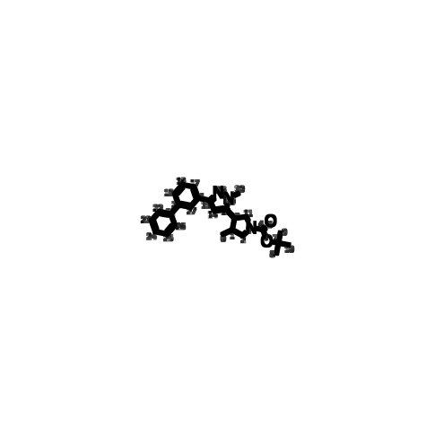 CC1CN(C(=O)OC(C)(C)C)CC1c1cc(-c2cccc(-c3ccccc3)c2)nn1C